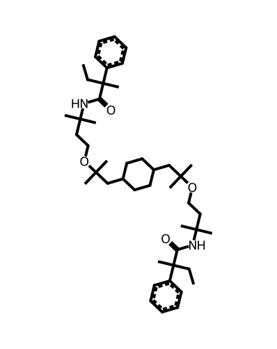 CCC(C)(C(=O)NC(C)(C)CCOC(C)(C)CC1CCC(CC(C)(C)OCCC(C)(C)NC(=O)C(C)(CC)c2ccccc2)CC1)c1ccccc1